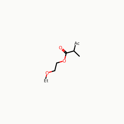 CCOCCOC(=O)C(C)C(C)=O